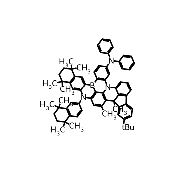 Cc1cc2c3c4c1C1(C)c5cc(C(C)(C)C)ccc5-c5cccc(c51)N4c1cc(N(c4ccccc4)c4ccccc4)ccc1B3c1cc3c(cc1N2c1ccc2c(c1)C(C)(C)CCC2(C)C)C(C)(C)CCC3(C)C